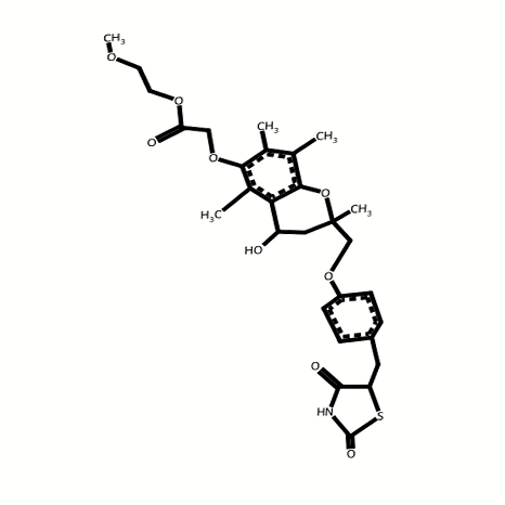 COCCOC(=O)COc1c(C)c(C)c2c(c1C)C(O)CC(C)(COc1ccc(CC3SC(=O)NC3=O)cc1)O2